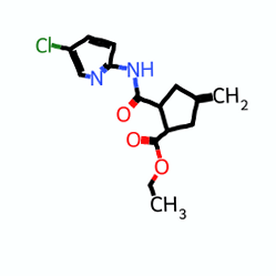 C=C1CC(C(=O)Nc2ccc(Cl)cn2)C(C(=O)OCC)C1